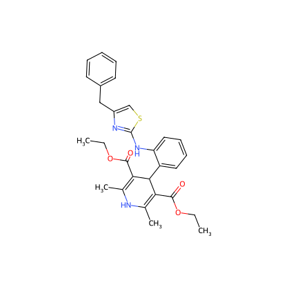 CCOC(=O)C1=C(C)NC(C)=C(C(=O)OCC)C1c1ccccc1Nc1nc(Cc2ccccc2)cs1